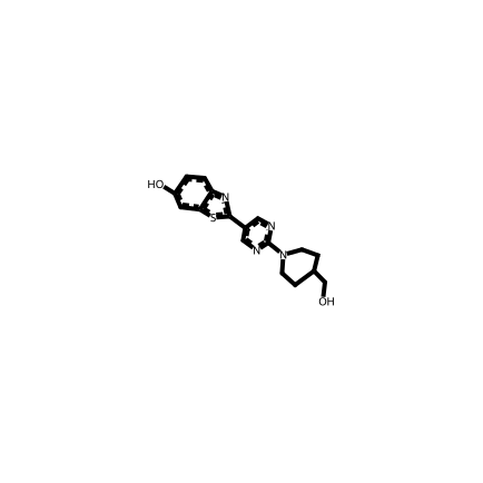 OCC1CCN(c2ncc(-c3nc4ccc(O)cc4s3)cn2)CC1